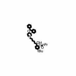 CCCC(=O)Oc1cc(C(C)(C)C)ccc1C(O)CCCCCN1CCC(OC(c2ccccc2)c2ccccc2)CC1